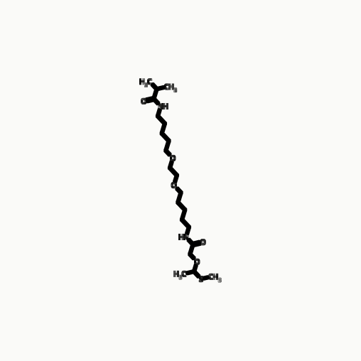 CSC(C)OCC(=O)NCCCCCOCCOCCCCCNC(=O)C(C)C